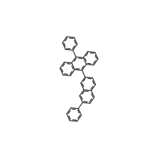 c1ccc(-c2ccc3ccc(-c4c5ccccc5c(-c5ccccc5)c5ccccc45)cc3c2)cc1